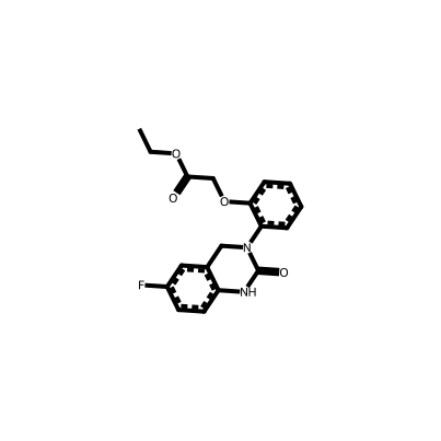 CCOC(=O)COc1ccccc1N1Cc2cc(F)ccc2NC1=O